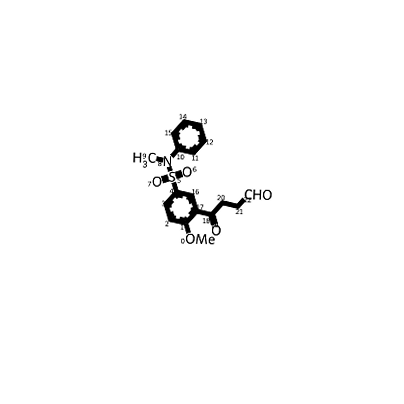 COc1ccc(S(=O)(=O)N(C)c2ccccc2)cc1C(=O)CCC=O